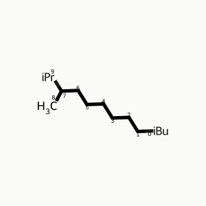 CCC(C)CCCCCCC(C)C(C)C